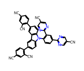 N#Cc1cnc(-c2ccc(-n3c4ccc(-c5ccc(C#N)cc5C#N)cc4c4cc(-c5ccc(C#N)cc5C#N)ccc43)c(-c3ncc(C#N)cn3)c2)nc1